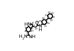 N=C(N)c1ccc2[nH]cc(CC(=O)Nc3ccc(-c4ccccc4)cc3)c2c1